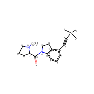 C[Si](C)(C)C#Cc1cccc2c1CCN2C(=O)C1CCCN1C(=O)O